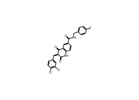 O=C1Nc2ccc(C(=O)NCc3ccc(F)cc3)cc2C(=O)/C1=C/c1ccc(Cl)c(Cl)c1